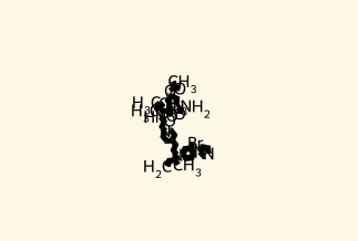 C=CC(C)N(CCC1CCN(CC(=O)N[C@H](C(=O)N2C[C@H](OC(C)=O)C[C@H]2C(N)=O)C(C)(C)C)CC1)c1ccc(-n2ccnc2)c(Br)c1